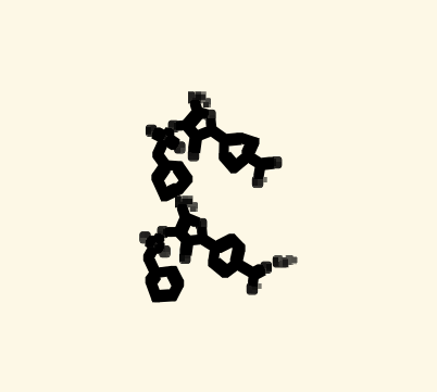 NC1=C(OS(=O)(=O)Cc2ccccc2)C(=O)C(c2ccc(C(=O)[O-])cc2)O1.NC1=C(OS(=O)(=O)Cc2ccccc2)C(=O)C(c2ccc(C(=O)[O-])cc2)O1.[Ca+2]